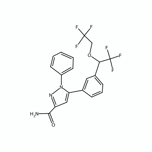 NC(=O)c1cc(-c2cccc(C(OCC(F)(F)F)C(F)(F)F)c2)n(-c2ccccc2)n1